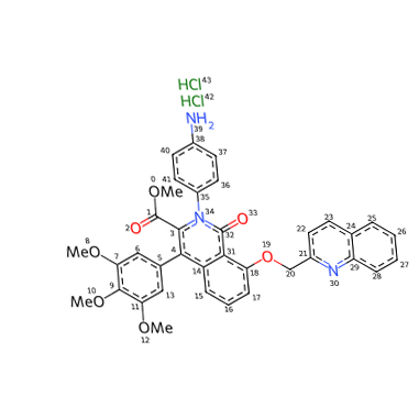 COC(=O)c1c(-c2cc(OC)c(OC)c(OC)c2)c2cccc(OCc3ccc4ccccc4n3)c2c(=O)n1-c1ccc(N)cc1.Cl.Cl